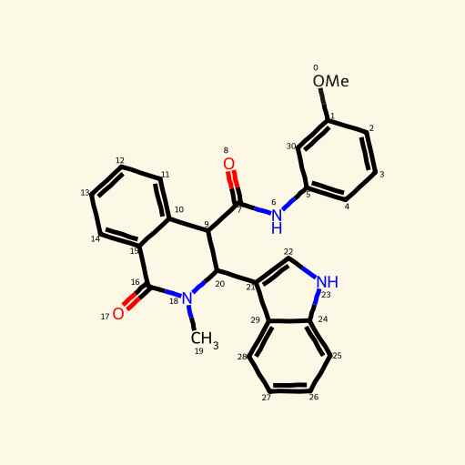 COc1cccc(NC(=O)C2c3ccccc3C(=O)N(C)C2c2c[nH]c3ccccc23)c1